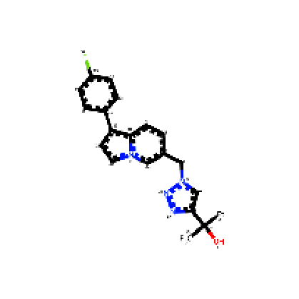 CCC(O)(c1cn(Cc2ccc3c(-c4ccc(F)cc4)ccn3c2)nn1)C(F)(F)F